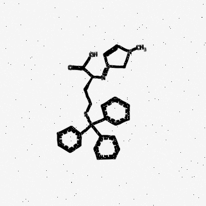 CN1C=CS(=N[C@@H](CCSC(c2ccccc2)(c2ccccc2)c2ccccc2)C(=O)O)C1